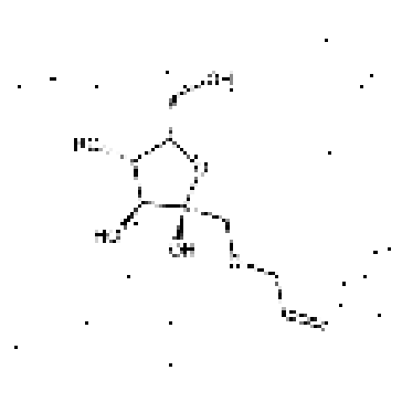 C=CCOC[C@@]1(O)O[C@@H](CO)[C@@H](O)[C@@H]1O